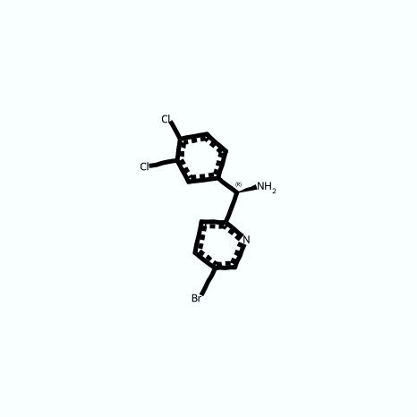 N[C@H](c1ccc(Cl)c(Cl)c1)c1ccc(Br)cn1